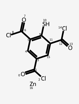 O=C(Cl)c1cc(C(=O)Cl)c(S)c(C(=O)Cl)c1.[Zn]